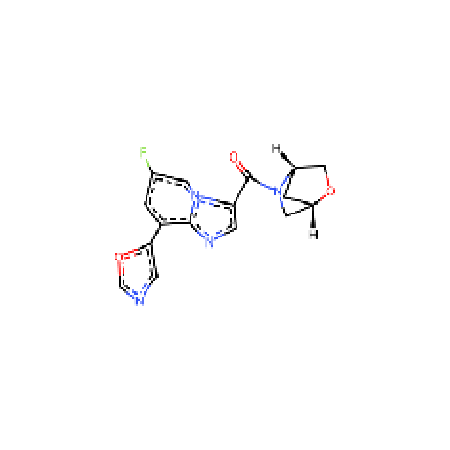 O=C(c1cnc2c(-c3cnco3)cc(F)cn12)N1C[C@@H]2C[C@H]1CO2